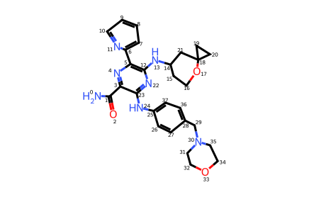 NC(=O)c1nc(-c2ccccn2)c(NC2CCOC3(CC3)C2)nc1Nc1ccc(CN2CCOCC2)cc1